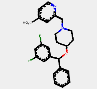 O=C(O)c1ccnc(CN2CCC(OC(c3ccccc3)c3cc(F)cc(F)c3)CC2)c1